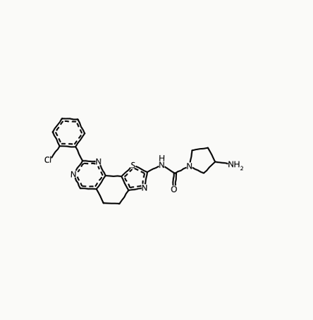 NC1CCN(C(=O)Nc2nc3c(s2)-c2nc(-c4ccccc4Cl)ncc2CC3)C1